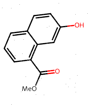 COC(=O)c1cccc2ccc(O)cc12